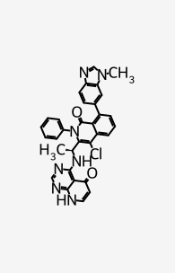 C[C@H](Nc1ncnc2[nH]ccc(=O)c12)c1c(Cl)c2cccc(-c3ccc4ncn(C)c4c3)c2c(=O)n1-c1ccccc1